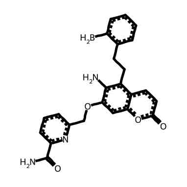 Bc1ccccc1CCc1c(N)c(OCc2cccc(C(N)=O)n2)cc2oc(=O)ccc12